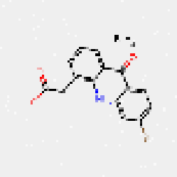 Nc1c(CC(=O)O)cccc1C(=O)c1ccc(Br)cc1.[BaH2]